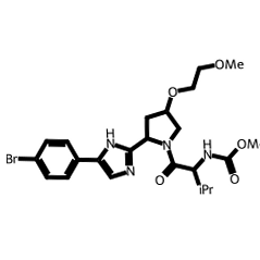 COCCOC1CC(c2ncc(-c3ccc(Br)cc3)[nH]2)N(C(=O)C(NC(=O)OC)C(C)C)C1